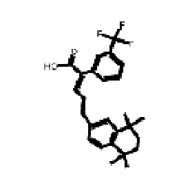 CC1(C)CCC(C)(C)c2cc(CC/C=C(/C(=O)O)c3cccc(C(F)(F)F)c3)ccc21